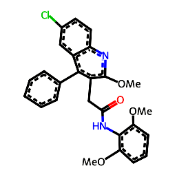 COc1cccc(OC)c1NC(=O)Cc1c(OC)nc2ccc(Cl)cc2c1-c1ccccc1